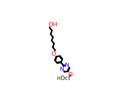 CCCCCCCCOc1cnc(-c2ccc(OCCCCCCCCO)cc2)nc1